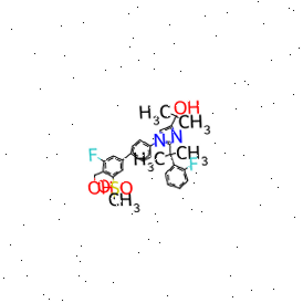 CC(C)(O)c1cn(-c2ccc(-c3cc(F)c(CO)c(S(C)(=O)=O)c3)cc2)c(C(C)(C)c2ccccc2F)n1